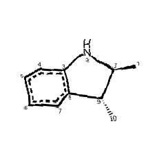 C[C@@H]1Nc2ccccc2[C@H]1C